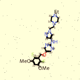 CCN1CCN(CCn2cc(Nc3ncc(OCc4c(F)c(OC)cc(OC)c4F)cn3)cn2)CC1